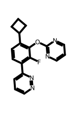 Fc1c(-c2cccnn2)ccc(C2CCC2)c1Oc1ncccn1